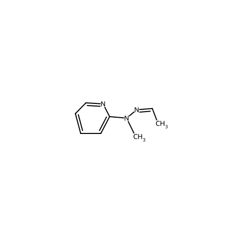 C/C=N\N(C)c1ccccn1